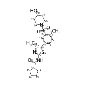 Cc1ccc(-c2sc(NC(=O)C3CCCC3)nc2C)cc1S(=O)(=O)N1CCC(O)CC1